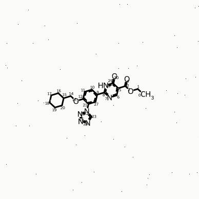 CCOC(=O)c1cnc(-c2ccc(OCC3CCCCC3)c(-n3cnnn3)c2)[nH]c1=O